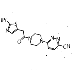 CC(C)c1ncc(CC(=O)N2CCN(c3ccc(C#N)nn3)CC2)s1